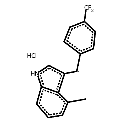 Cc1cccc2[nH]cc([CH]c3ccc(C(F)(F)F)cc3)c12.Cl